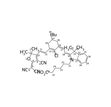 CC1(C)OC(=C(C#N)C#N)C(C#N)=C1C=CC1=C(Cl)C(=CC=C2N(CCCCCC(=O)O)c3ccccc3C2(C)C)CC(C(C)(C)C)C1